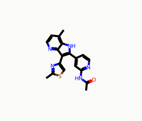 CC(=O)Nc1cc(-c2[nH]c3c(C)ccnc3c2-c2csc(C)n2)ccn1